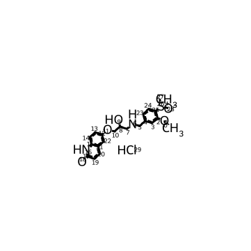 COc1cc(CNCC(O)COc2ccc3[nH]c(=O)ccc3c2)ccc1[S+](C)[O-].Cl